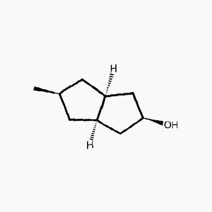 C[C@@H]1C[C@@H]2C[C@H](O)C[C@@H]2C1